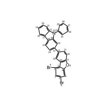 Brc1cc(Br)c2c(c1)oc1ccc(-c3ccc4c5ccccc5n(-c5ccccc5)c4c3)cc12